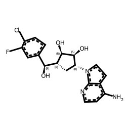 Nc1ccnc2c1ccn2[C@@H]1C[C@H]([C@@H](O)c2ccc(Cl)c(F)c2)[C@@H](O)[C@H]1O